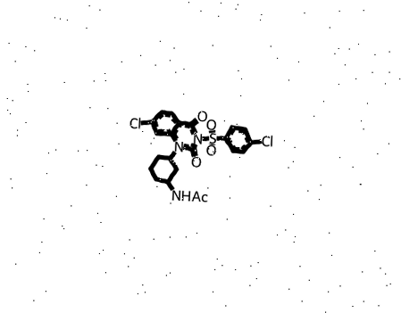 CC(=O)NC1CCCC(n2c(=O)n(S(=O)(=O)c3ccc(Cl)cc3)c(=O)c3ccc(Cl)cc32)C1